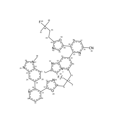 Cc1cn2c(CC(C)(Cc3ncc(-c4cccnc4-c4ccc5c(c4)ncn5C)o3)C(F)(F)F)cc(-c3nc(C#N)ccc3-c3cnc(CCC(C)(C)F)o3)cc2n1